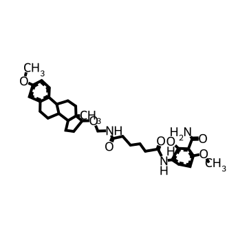 COc1ccc2c(c1)CCC1C2CCC2(C)C(OCNC(=O)CCCCC(=O)Nc3ccc(OC)c(C(N)=O)c3O)CCC12